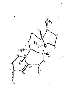 C[C@H]1C[C@@H]2[C@H](CC[C@]3(C)[C@@H](O)CC[C@@H]23)[C@H]2CCC(=O)C=C12